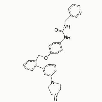 O=C(NCc1cccnc1)Nc1ccc(OCc2ccccc2-c2cccc(N3CCNCC3)c2)cc1